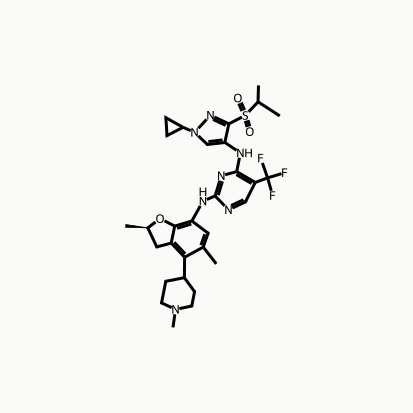 Cc1cc(Nc2ncc(C(F)(F)F)c(Nc3cn(C4CC4)nc3S(=O)(=O)C(C)C)n2)c2c(c1C1CCN(C)CC1)C[C@@H](C)O2